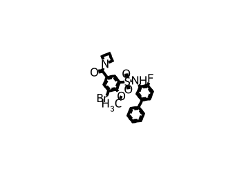 COc1c(Br)cc(C(=O)N2CCC2)cc1S(=O)(=O)Nc1cc(-c2ccccc2)ccc1F